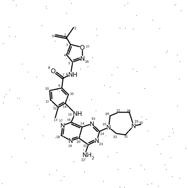 C=C(C)c1cc(NC(=O)c2ccc(C)c(Nc3ncnc4c(N)nc(N5CCCN(C)CC5)nc34)c2)no1